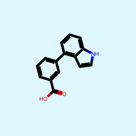 O=C(O)c1cccc(-c2cccc3[nH]ccc23)c1